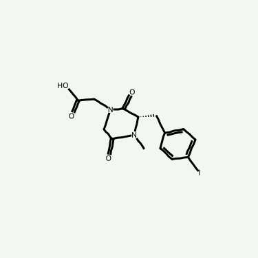 CN1C(=O)CN(CC(=O)O)C(=O)[C@@H]1Cc1ccc(I)cc1